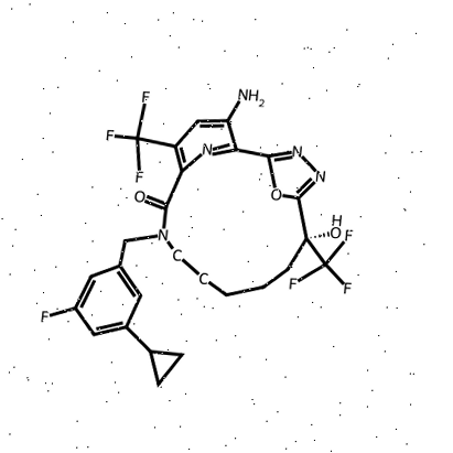 Nc1cc(C(F)(F)F)c2nc1-c1nnc(o1)[C@@](O)(C(F)(F)F)CCCCCN(Cc1cc(F)cc(C3CC3)c1)C2=O